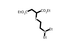 CCOC(=O)CC(SCCN(CC)CC)C(=O)OCC